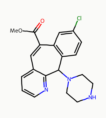 COC(=O)C1=Cc2cccnc2C(N2CCNCC2)c2ccc(Cl)cc21